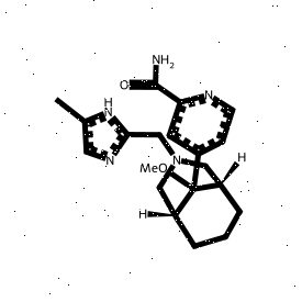 COC1(c2ccnc(C(N)=O)c2)[C@@H]2CCC[C@H]1CN(Cc1ncc(C)[nH]1)C2